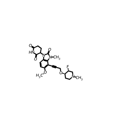 COc1ccc2c(c1C#CCO[C@@H]1CCN(C)C[C@@H]1F)n(C)c(=O)n2C1CCC(=O)NC1=O